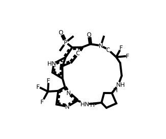 CN1CC(F)(F)CCN[C@H]2CC[C@@H](C2)Nc2ncc(C(F)(F)F)c(n2)-c2c[nH]c3c(P(C)(C)=O)c(ccc23)C1=O